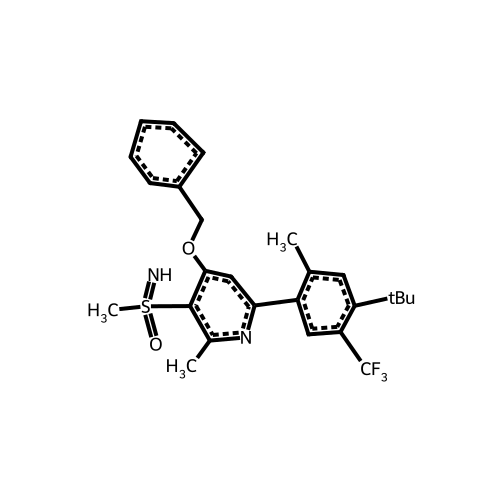 Cc1cc(C(C)(C)C)c(C(F)(F)F)cc1-c1cc(OCc2ccccc2)c(S(C)(=N)=O)c(C)n1